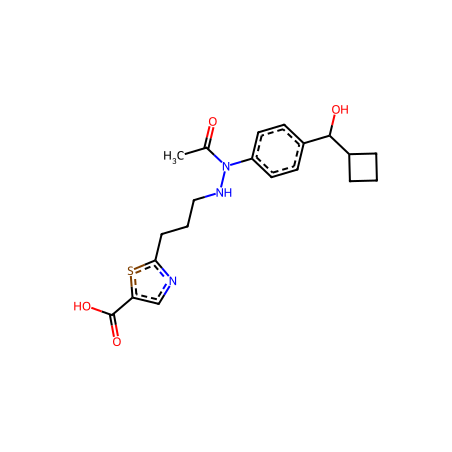 CC(=O)N(NCCCc1ncc(C(=O)O)s1)c1ccc(C(O)C2CCC2)cc1